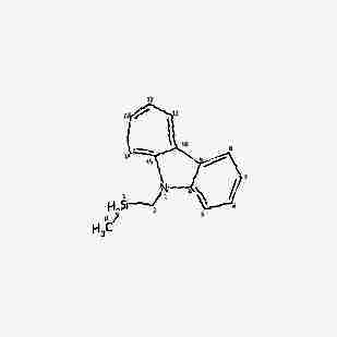 C[SiH2]Cn1c2ccccc2c2ccccc21